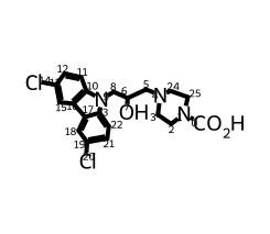 O=C(O)N1CCN(CC(O)Cn2c3ccc(Cl)cc3c3cc(Cl)ccc32)CC1